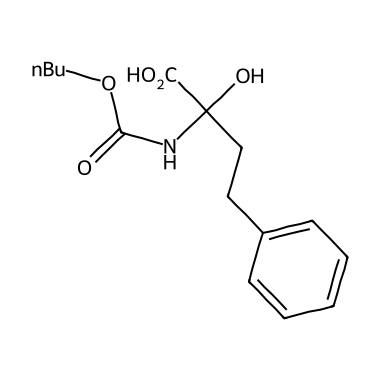 CCCCOC(=O)NC(O)(CCc1ccccc1)C(=O)O